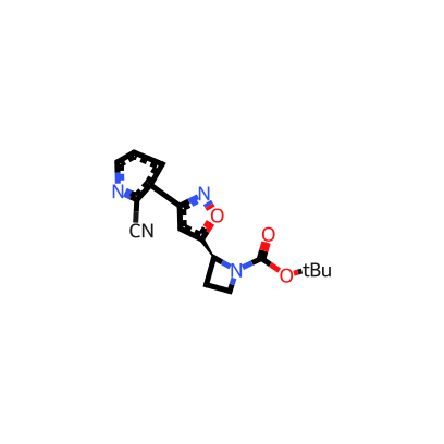 CC(C)(C)OC(=O)N1CC[C@H]1c1cc(-c2cccnc2C#N)no1